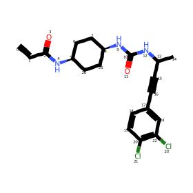 C=CC(=O)N[C@H]1CC[C@@H](NC(=O)NC(C)C#Cc2ccc(Cl)c(Cl)c2)CC1